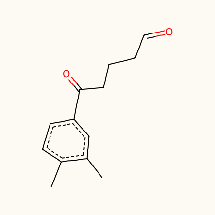 Cc1ccc(C(=O)CCCC=O)cc1C